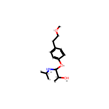 COCCc1ccc(OC(NC(C)C)C(C)O)cc1